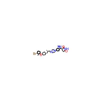 Cc1c(Br)cccc1O[C@H]1CC[C@H](C[C@@H](C)CCN2CCN(c3ccc4c(C5CCC(=O)NC5=O)nn(C)c4c3)CC2)CC1